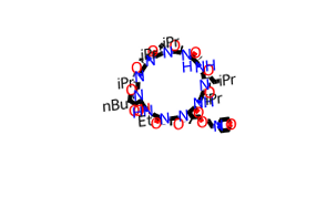 CCCC[C@@H](C)[C@@H](O)[C@H]1C(=O)N[C@@H](CC)C(=O)N(C)[C@H](C)C(=O)N(C)[C@@H]([C@H](C)COCCN2CCOCC2)C(=O)N[C@@H](C(C)C)C(=O)N(C)[C@@H](CCC(C)C)C(=O)N[C@@H](C)C(=O)N[C@H](C)C(=O)N(C)[C@@H](CC(C)C)C(=O)N(C)[C@@H](CC(C)C)C(=O)N(C)[C@@H](C(C)C)C(=O)N1C